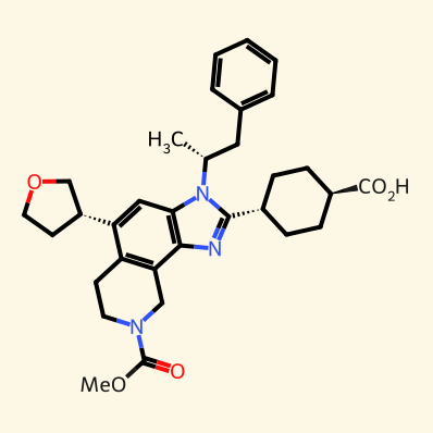 COC(=O)N1CCc2c([C@@H]3CCOC3)cc3c(nc([C@H]4CC[C@H](C(=O)O)CC4)n3[C@H](C)Cc3ccccc3)c2C1